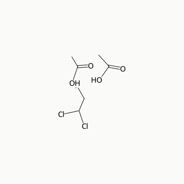 CC(=O)O.CC(=O)O.[CH2]CC(Cl)Cl